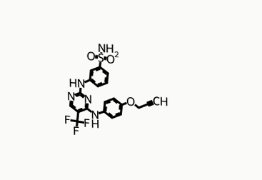 C#CCOc1ccc(Nc2nc(Nc3cccc(S(N)(=O)=O)c3)ncc2C(F)(F)F)cc1